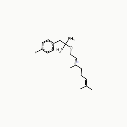 CC(C)=CCC/C(C)=C/COC(P)(P)Cc1ccc(F)cc1